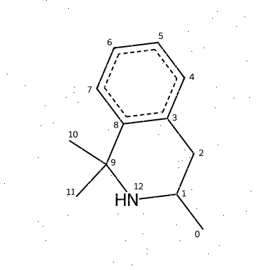 CC1Cc2ccccc2C(C)(C)N1